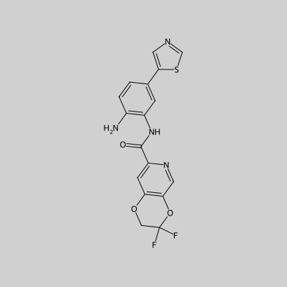 Nc1ccc(-c2cncs2)cc1NC(=O)c1cc2c(cn1)OC(F)(F)CO2